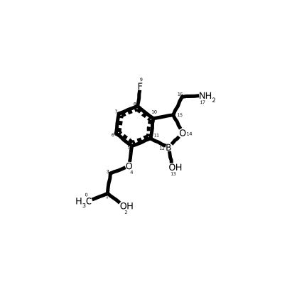 CC(O)COc1ccc(F)c2c1B(O)OC2CN